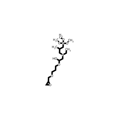 CCN(CC(C)C[Si](OC)(OC)OC)CC(O)OCCCOCC1CO1